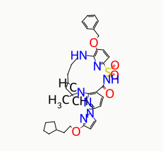 CC1(C)C[C@@H]2CCCNc3nc(ccc3OCc3ccccc3)S(=O)(=O)NC(=O)c3ccc(-n4ccc(OCCC5CCCC5)n4)nc3N1C2